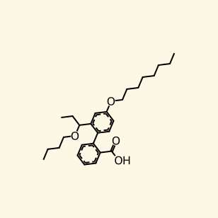 CCCCCCCCOc1ccc(-c2ccccc2C(=O)O)c(C(CC)OCCCC)c1